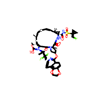 CC[C@@H]1C[C@@H](C)CC/C=C\[C@@H]2C[C@@]2(C(=O)NS(=O)(=O)C2(CF)CC2)NC(=O)[C@@H]2C[C@@H](Oc3nccc4c5c(ccc34)OCCO5)CN2C(=O)[C@H]1N(C(=O)O)C(C)(C)C(C)(F)F